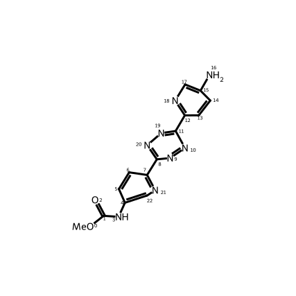 COC(=O)Nc1ccc(-c2nnc(-c3ccc(N)cn3)nn2)nc1